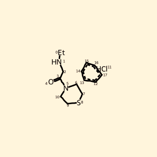 CCNCC(=O)N1CCSCC1.Cl.c1ccccc1